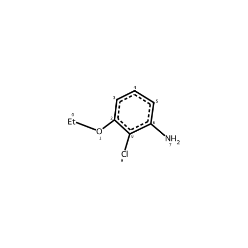 CCOc1cccc(N)c1Cl